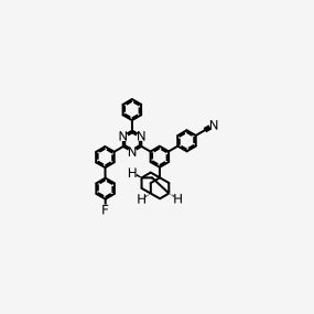 N#Cc1ccc(-c2cc(-c3nc(-c4ccccc4)nc(-c4cccc(-c5ccc(F)cc5)c4)n3)cc(C34C[C@H]5C[C@H](C3)C[C@@H](C4)C5)c2)cc1